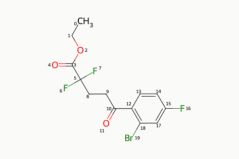 CCOC(=O)C(F)(F)CCC(=O)c1ccc(F)cc1Br